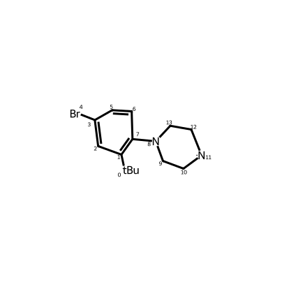 CC(C)(C)c1cc(Br)ccc1N1CC[N]CC1